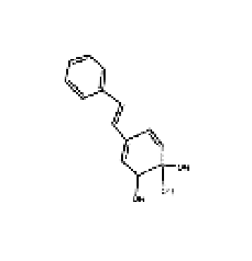 OC1C=C(C=Cc2ccccc2)C=CC1(O)O